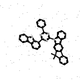 CC1(C)c2ccccc2-c2cc3c4ccccc4n(-c4nc(-c5ccccc5)nc(-c5cccc6c5sc5ccccc56)n4)c3cc21